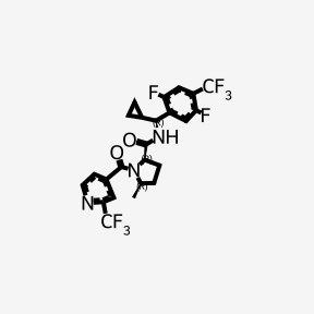 C[C@@H]1CC[C@H](C(=O)N[C@@H](c2cc(F)c(C(F)(F)F)cc2F)C2CC2)N1C(=O)c1ccnc(C(F)(F)F)c1